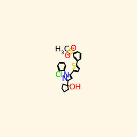 CS(=O)(=O)c1cccc(-c2ccc(-c3cc(C4(O)CCCC4)nn3-c3ccccc3Cl)s2)c1